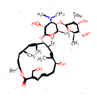 CC[C@H]1/C=C(\C)[C@@H](O)C/C=C/C=C(\CO)C(=O)O[C@H](C(C)C)C/C=C(C)/C=C(\C)[C@@H]1O[C@@H]1O[C@H](C)[C@@H](O[C@@H]2O[C@H](C)[C@@H](O)[C@H](O)[C@H]2OC)[C@H](N(C)C)[C@H]1O